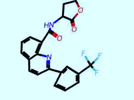 O=C(NC1CCOC1=O)c1cccc2ccc(-c3cccc(C(F)(F)F)c3)nc12